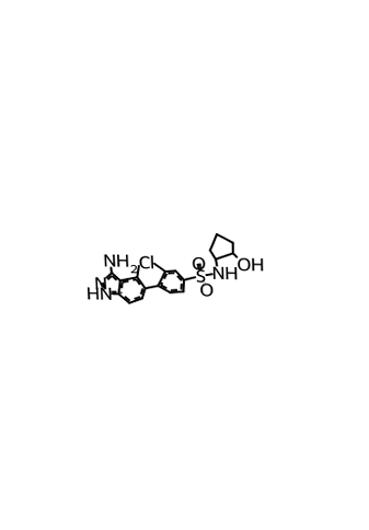 Cc1c(-c2ccc(S(=O)(=O)NC3CCCC3O)cc2Cl)ccc2[nH]nc(N)c12